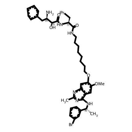 COc1cc2c(N[C@H](C)c3cccc(Br)c3)nc(C)nc2cc1OCCCCCCCCNC(=O)[C@H](CC(C)C)NC(=O)[C@@H](O)[C@H](N)Cc1ccccc1